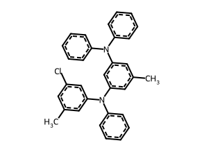 Cc1cc(Cl)cc(N(c2ccccc2)c2cc(C)cc(N(c3ccccc3)c3ccccc3)c2)c1